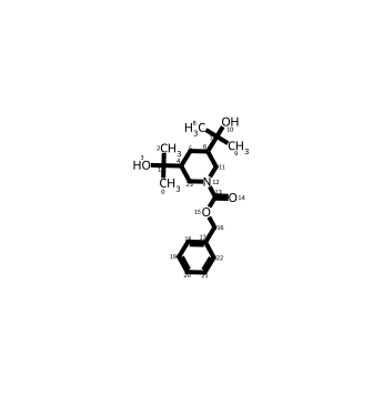 CC(C)(O)C1CC(C(C)(C)O)CN(C(=O)OCc2ccccc2)C1